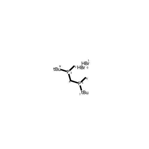 Br.Br.CP(CP(C)C(C)(C)C)C(C)(C)C